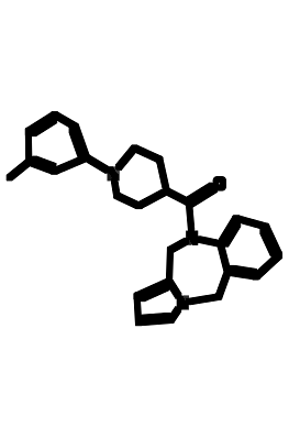 Cc1cccc(N2CCC(C(=O)N3Cc4cccn4Cc4ccccc43)CC2)c1